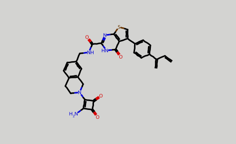 C=CC(=C)c1ccc(-c2csc3nc(C(=O)NCc4ccc5c(c4)CN(c4c(N)c(=O)c4=O)CC5)[nH]c(=O)c23)cc1